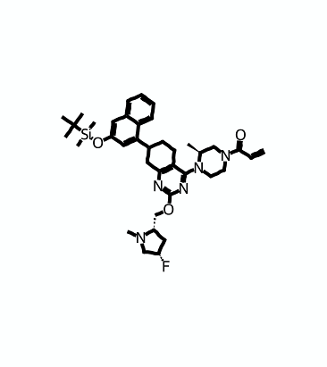 C=CC(=O)N1CCN(c2nc(OC[C@@H]3C[C@H](F)CN3C)nc3c2CCC(c2cc(O[Si](C)(C)C(C)(C)C)cc4ccccc24)C3)[C@@H](C)C1